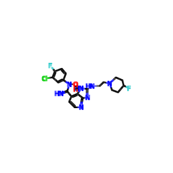 N=C(c1ccnc2nc(NCCN3CCC(F)CC3)[nH]c12)N(O)c1ccc(F)c(Cl)c1